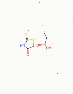 CCC(=O)O.O=C1CSC(=S)N1